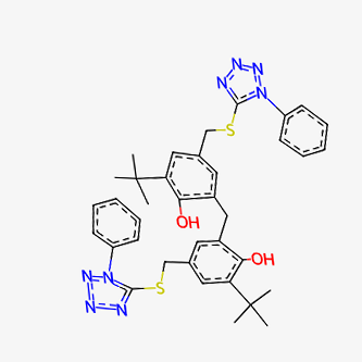 CC(C)(C)c1cc(CSc2nnnn2-c2ccccc2)cc(Cc2cc(CSc3nnnn3-c3ccccc3)cc(C(C)(C)C)c2O)c1O